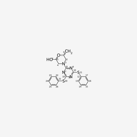 C=CCN(CC(=O)O)c1nc(Sc2ccccc2)nc(Sc2ccccc2)n1